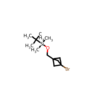 CC(C)(C)[Si](C)(C)OCC12CC(Br)(C1)C2